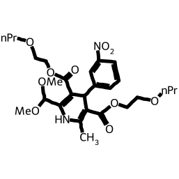 CCCOCCOC(=O)C1=C(C)NC(C(OC)OC)=C(C(=O)OCCOCCC)C1c1cccc([N+](=O)[O-])c1